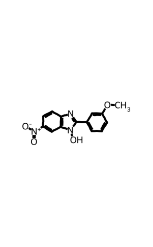 COc1cccc(-c2nc3ccc([N+](=O)[O-])cc3n2O)c1